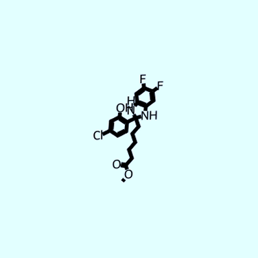 COC(=O)CCCCCC1(c2ccc(Cl)cc2O)Nc2cc(F)c(F)cc2N1